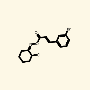 O=C(C=Cc1cccc(Br)c1)ON=C1CCCCC1Cl